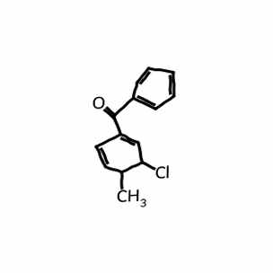 CC1C=CC(C(=O)c2ccccc2)=CC1Cl